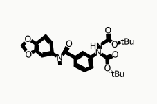 CN(C(=O)c1cccc(N(NC(=O)OC(C)(C)C)C(=O)OC(C)(C)C)c1)c1ccc2c(c1)OCO2